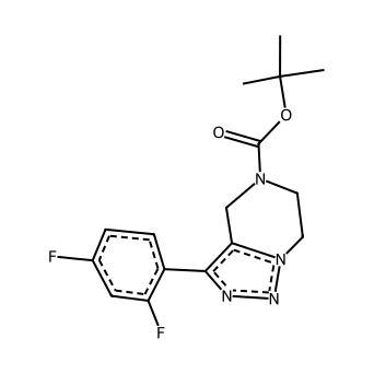 CC(C)(C)OC(=O)N1CCn2nnc(-c3ccc(F)cc3F)c2C1